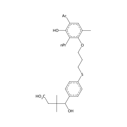 CCCc1c(O)c(C(C)=O)cc(C)c1OCCCSc1ccc(C(O)C(C)(C)CC(=O)O)cc1